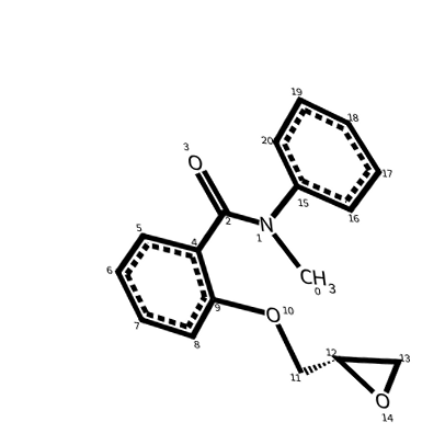 CN(C(=O)c1ccccc1OC[C@@H]1CO1)c1ccccc1